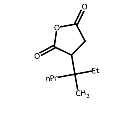 CCCC(C)(CC)C1CC(=O)OC1=O